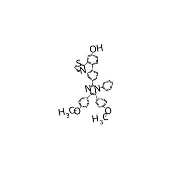 COc1ccc(-c2nc(-c3ccc(-c4ccc(O)cc4-c4nccs4)cc3)n(-c3ccccc3)c2-c2ccc(OC)cc2)cc1